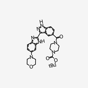 CC(C)(C)OC(=O)N1CCN(C(=O)c2ccc3[nH]nc(-c4nc5ccc(N6CCOCC6)cc5[nH]4)c3c2)CC1